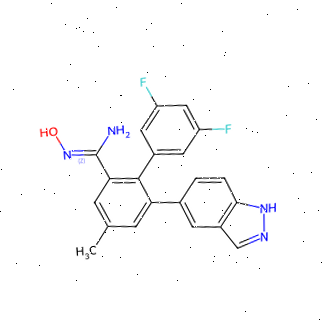 Cc1cc(/C(N)=N/O)c(-c2cc(F)cc(F)c2)c(-c2ccc3[nH]ncc3c2)c1